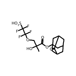 CC(O)(COC(F)(F)C(F)(F)S(=O)(=O)O)C(=O)OC12CC3CC(C1)C(=O)C(C3)C2